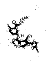 CONC(=O)c1cc(Nc2ncnn3cc(-c4ncc(C)o4)c(C(C)C)c23)ccc1C